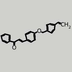 C=Cc1ccc(COc2ccc(C=CC(=O)c3ccccc3)cc2)cc1